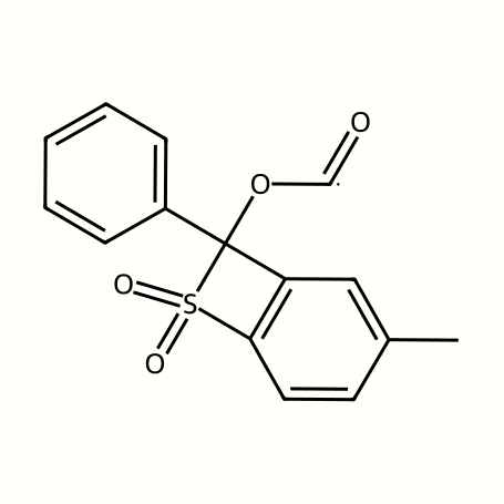 Cc1ccc2c(c1)C(O[C]=O)(c1ccccc1)S2(=O)=O